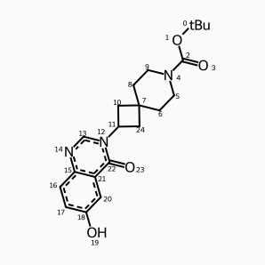 CC(C)(C)OC(=O)N1CCC2(CC1)CC(n1cnc3ccc(O)cc3c1=O)C2